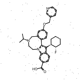 CC(C)N1CCn2c(c([C@H]3CCCC[C@@H]3F)c3ccc(C(=O)O)cc32)-c2ccc(OCc3cccnc3)cc2C1